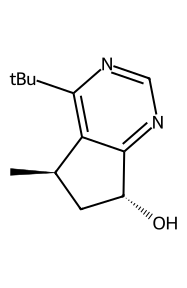 C[C@@H]1C[C@@H](O)c2ncnc(C(C)(C)C)c21